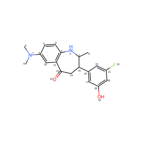 CC1Nc2ccc(N(C)C)cc2C(=O)CC1c1cc(O)cc(F)c1